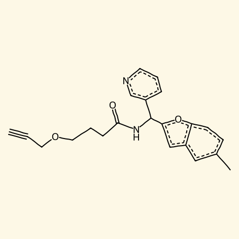 C#CCOCCCC(=O)NC(c1cccnc1)c1cc2cc(C)ccc2o1